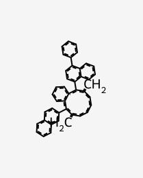 C=c1ccccc(=C)c(-c2ccc(-c3ccccc3)c3ccccc23)c2ccccc2c1-c1ccc2ccccc2c1